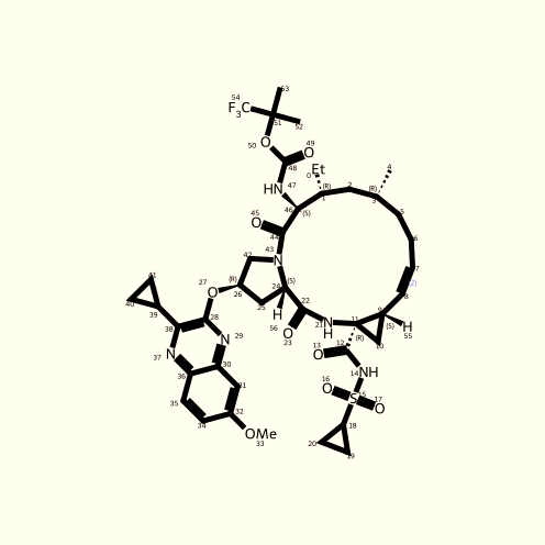 CC[C@@H]1C[C@H](C)CC/C=C\[C@@H]2C[C@@]2(C(=O)NS(=O)(=O)C2CC2)NC(=O)[C@@H]2C[C@@H](Oc3nc4cc(OC)ccc4nc3C3CC3)CN2C(=O)[C@H]1NC(=O)OC(C)(C)C(F)(F)F